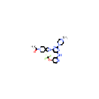 CC(=O)N1CCC2(CC1)CN(c1cc(Nc3cc(OC(F)(F)F)ccn3)nc(N3CCN(C)CC3)n1)C2